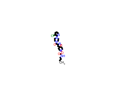 CCCCNC(=O)ON1CCC2(CC1)CC(C(=O)N1CCN(c3ncccc3Cl)CC1)=NO2